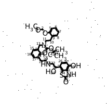 COCOc1ccccc1CCN(Cc1cccc(CCNC[C@@H](O)c2ccc(O)c3[nH]c(=O)sc23)c1)C(=O)OC(C)(C)C